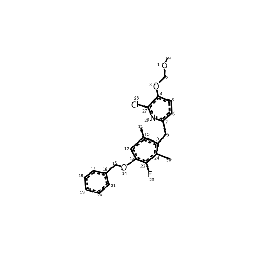 COCOc1ccc(Cc2c(C)cc(OCc3ccccc3)c(F)c2C)nc1Cl